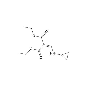 CCOC(=O)C(=CNC1CC1)C(=O)OCC